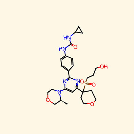 C[C@H]1COCCN1c1cc(C2(S(=O)(=O)CCCO)CCOCC2)nc(-c2ccc(NC(=O)NC3CC3)cc2)n1